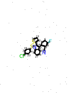 N#Cc1cc(F)ccc1-c1c(-c2cccs2)n(Sc2ccc(Cl)cc2)c2ccccc12